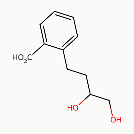 O=C(O)c1ccccc1CCC(O)CO